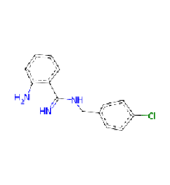 N=C(NCc1ccc(Cl)cc1)c1ccccc1N